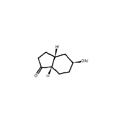 CC(=O)O[C@H]1CC[C@@H]2C(=O)CC[C@@H]2C1